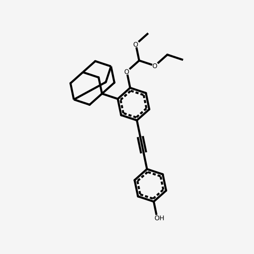 CCOC(OC)Oc1ccc(C#Cc2ccc(O)cc2)cc1C12CC3CC(CC(C3)C1)C2